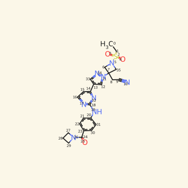 CCS(=O)(=O)N1CC(CC#N)(n2cc(-c3ccnc(Nc4ccc(C(=O)N5CCC5)cc4)n3)cn2)C1